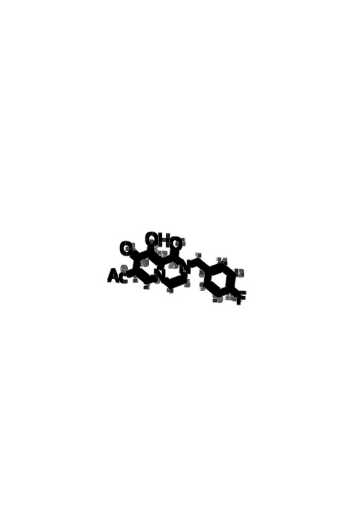 CC(=O)c1cn2ccn(Cc3ccc(F)cc3)c(=O)c2c(O)c1=O